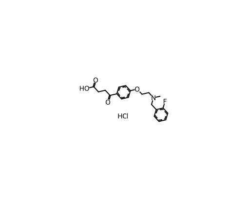 CN(CCOc1ccc(C(=O)CCC(=O)O)cc1)Cc1ccccc1F.Cl